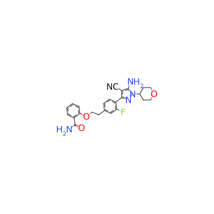 N#Cc1c(-c2ccc(CCOc3ccccc3C(N)=O)cc2F)nn(C2CCOCC2)c1N